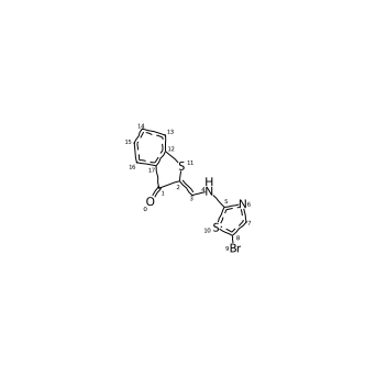 O=C1C(=CNc2ncc(Br)s2)Sc2ccccc21